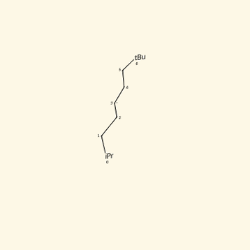 CC(C)CC[CH]CCC(C)(C)C